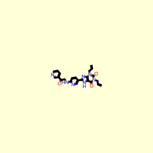 C=CCn1c(=O)c2[nH]c(-c3ccc(NCC(=O)c4cccnc4)nc3)nc2n(CC=C)c1=O